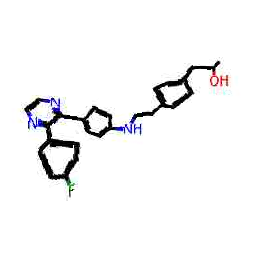 CC(O)Cc1ccc(CCNc2ccc(-c3nccnc3-c3ccc(F)cc3)cc2)cc1